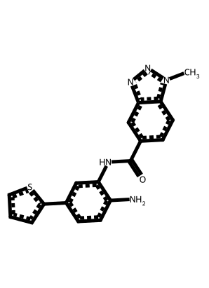 Cn1nnc2cc(C(=O)Nc3cc(-c4cccs4)ccc3N)ccc21